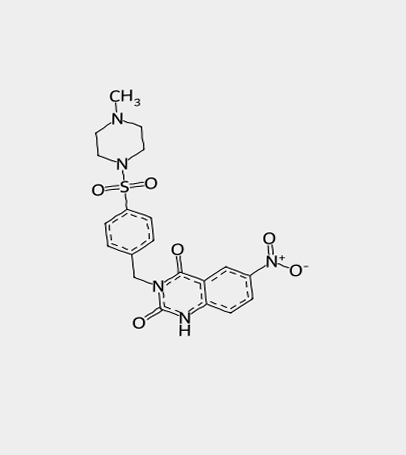 CN1CCN(S(=O)(=O)c2ccc(Cn3c(=O)[nH]c4ccc([N+](=O)[O-])cc4c3=O)cc2)CC1